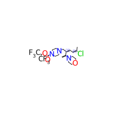 C=C(/C(=C\C=C(/C)Cl)CN1CCN(C(=O)OC(C(F)(F)F)C(F)(F)F)CC1)N1CCOCC1